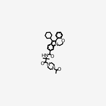 CC(=O)N1CCN(C(=O)C(C)(C)NC(=O)c2ccc3c(C4CCCCC4)c4n(c3c2)CCOc2ccccc2-4)CC1